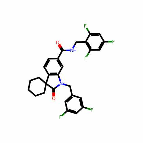 O=C(NCc1c(F)cc(F)cc1F)c1ccc2c(c1)N(Cc1cc(F)cc(F)c1)C(=O)C21CCCCC1